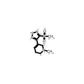 CN1CCC=C(c2nsnc2S(C)(=O)=O)C1